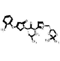 Cc1ccccc1OC1=CC(=O)N([C@@H](CC(C)C)C(=O)Nc2ccn(C[C@@H]3COC(C)(C)O3)n2)C1